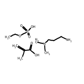 C=C(C)C(=O)O.CCOS(=O)(=O)O.CN(C)CCCN